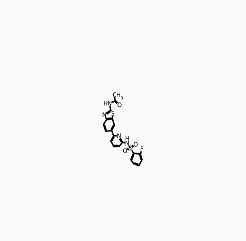 CC(=O)Nc1nc2ccc(-c3cccc(NS(=O)(=O)c4ccccc4F)n3)cc2s1